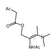 CC(=O)CC(=O)OC/C(NC(C)=O)=C(\C)N(C)C